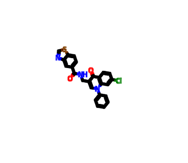 O=C(NCc1cn(-c2ccccc2)c2cc(Cl)ccc2c1=O)c1ccc2scnc2c1